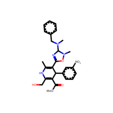 COC(=O)C1=C(CO)NC(C)=C(C2=NC(N(C)Cc3ccccc3)N(C)O2)C1c1cccc([N+](=O)[O-])c1